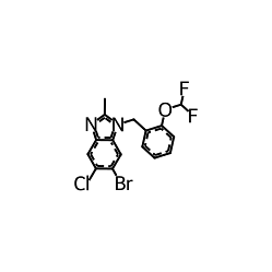 Cc1nc2cc(Cl)c(Br)cc2n1Cc1ccccc1OC(F)F